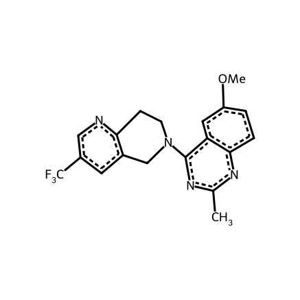 COc1ccc2nc(C)nc(N3CCc4ncc(C(F)(F)F)cc4C3)c2c1